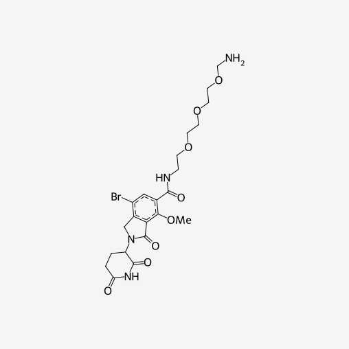 COc1c(C(=O)NCCOCCOCCOCN)cc(Br)c2c1C(=O)N(C1CCC(=O)NC1=O)C2